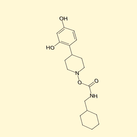 O=C(NCC1CCCCC1)ON1CCC(c2ccc(O)cc2O)CC1